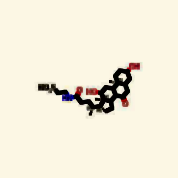 C[C@H](CCC(=O)NCCS(=O)(=O)O)[C@H]1CCC2C3C(=O)CC4CC(O)CC[C@]4(C)C3CC(O)[C@@]21C